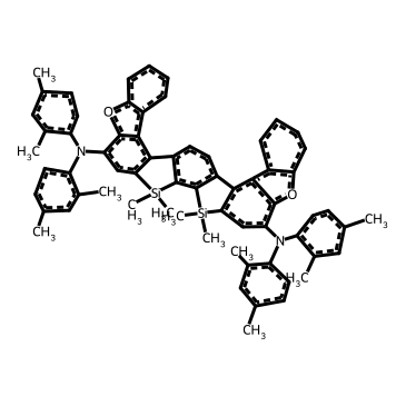 Cc1ccc(N(c2ccc(C)cc2C)c2cc3c(c4c2oc2ccccc24)-c2ccc4c(c2[Si]3(C)C)[Si](C)(C)c2cc(N(c3ccc(C)cc3C)c3ccc(C)cc3C)c3oc5ccccc5c3c2-4)c(C)c1